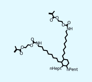 C=C(C)C(=O)OCCOC(=O)NCCCCCCCCCC1CCC(CCCCC)C(CCCCCCC)C1CCCCCCCCCNC(=O)OCCOC(=O)C(=C)C